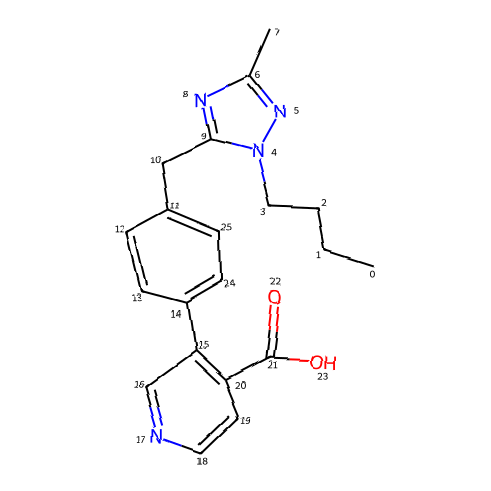 CCCCn1nc(C)nc1Cc1ccc(-c2cnccc2C(=O)O)cc1